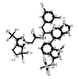 C[C@@H]1Cc2c(C(F)(F)F)nn(CC(=O)NC(Cc3cc(F)cc(F)c3)c3nc4ncsc4cc3-c3cccc4c(NS(C)(=O)=O)nn(C)c34)c2C1(F)F